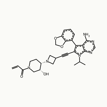 C=CC(=O)N1CC[C@H](N2CC(C#Cc3c(-c4cccc5c4OCO5)c4c(N)ncnc4n3C(C)C)C2)[C@H](O)C1